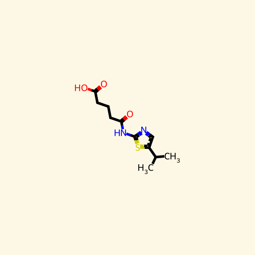 CC(C)c1cnc(NC(=O)CCCC(=O)O)s1